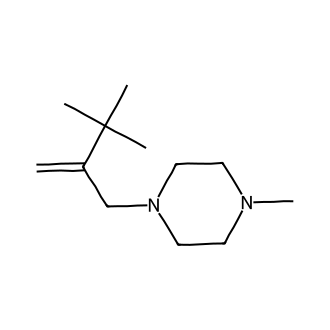 C=C(CN1CCN(C)CC1)C(C)(C)C